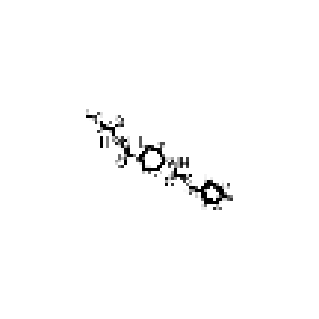 COCC(=O)NNC(=O)[C@H]1CC[C@H](NC(=O)OCc2ccccc2)CC1